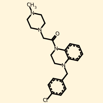 CN1CCN(CC(=O)N2CCN(Cc3ccc(Cl)cc3)c3ccccc32)CC1